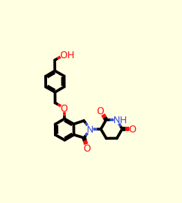 O=C1CCC(N2Cc3c(OCc4ccc(CO)cc4)cccc3C2=O)C(=O)N1